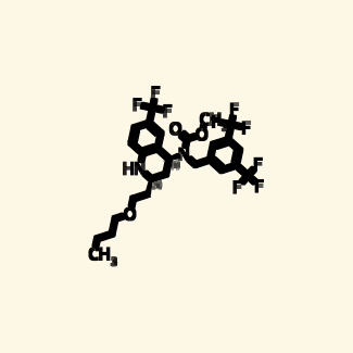 CCCCOCC[C@@H]1C[C@H](N(Cc2cc(C(F)(F)F)cc(C(F)(F)F)c2)C(=O)OC)c2cc(C(F)(F)F)ccc2N1